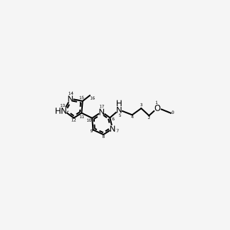 COCCCNc1nccc(-c2c[nH]nc2C)n1